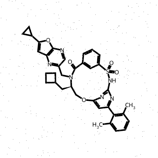 Cc1cccc(C)c1-c1cc2nc(n1)NS(=O)(=O)c1cccc(c1)C(=O)N(Cc1cnc3oc(C4CC4)cc3n1)[C@H](CC1CCC1)CO2